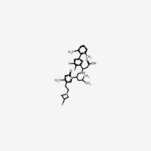 Cc1cc(=O)n(C(CNC(CC(=O)O)c2cc(-c3c(C)cccc3C)cc(F)c2F)CC(C)C)cc1CCN1CC(F)C1